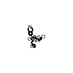 CN1CCc2ccc(NC(=O)C(Cc3ccco3)NC(=O)c3ccc(Cl)s3)cc2CC1